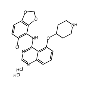 Cl.Cl.Clc1ccc2c(c1Nc1ncnc3cccc(OC4CCNCC4)c13)OCO2